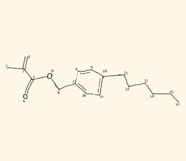 C=C(C)C(=O)OCc1ccc(CCCCCC)cc1